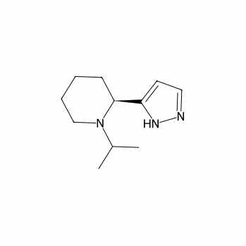 CC(C)N1CCCC[C@H]1c1ccn[nH]1